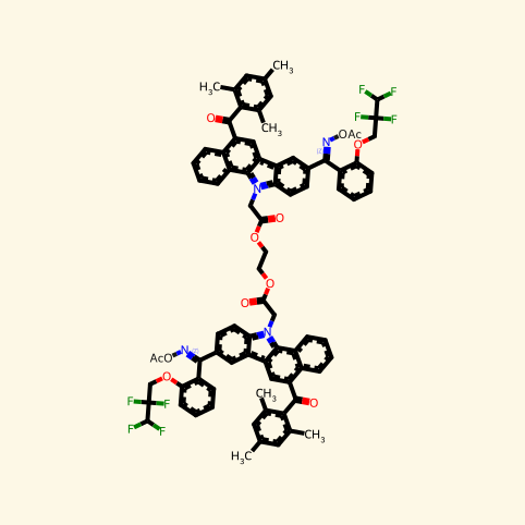 CC(=O)O/N=C(/c1ccc2c(c1)c1cc(C(=O)c3c(C)cc(C)cc3C)c3ccccc3c1n2CC(=O)OCCOC(=O)Cn1c2ccc(/C(=N/OC(C)=O)c3ccccc3OCC(F)(F)C(F)F)cc2c2cc(C(=O)c3c(C)cc(C)cc3C)c3ccccc3c21)c1ccccc1OCC(F)(F)C(F)F